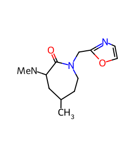 CNC1CC(C)CCN(Cc2ncco2)C1=O